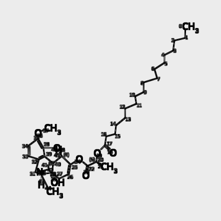 CCCCCCCCCCCCCCCCCC(=O)O[C@@H](C)C(=O)OC1=CC[C@@]2(O)[C@H]3Cc4ccc(OC)c5c4[C@@]2(CCN3C)[C@H]1O5